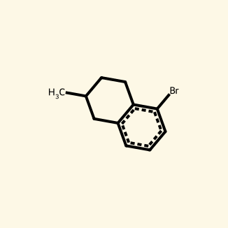 CC1CCc2c(Br)cccc2C1